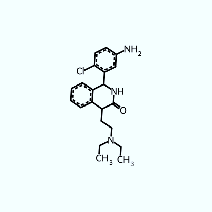 CCN(CC)CCC1C(=O)NC(c2cc(N)ccc2Cl)c2ccccc21